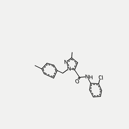 Cc1ccc(Cn2nc(C)cc2C(=O)Nc2ccccc2Cl)cc1